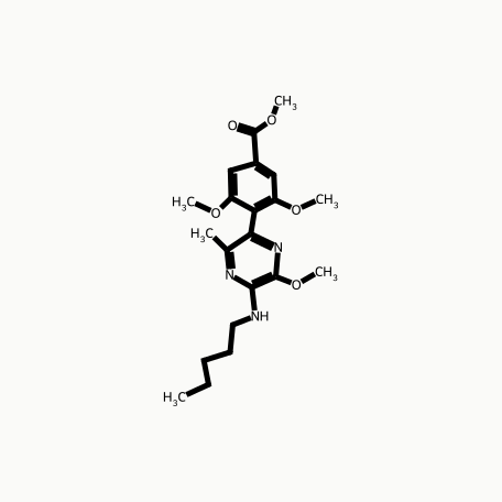 CCCCCNc1nc(C)c(-c2c(OC)cc(C(=O)OC)cc2OC)nc1OC